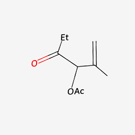 C=C(C)C(OC(C)=O)C(=O)CC